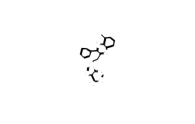 Cc1cccc2nc(CCn3cnc4c(N)ncnc43)c(-c3ccccc3)nc12